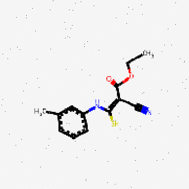 CCOC(=O)/C(C#N)=C(/S)Nc1cccc(C)c1